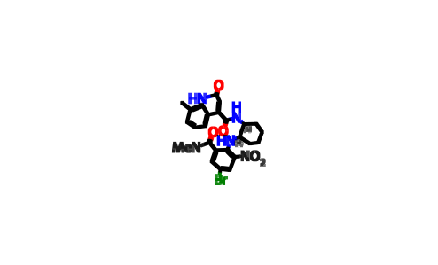 CNC(=O)c1cc(Br)cc([N+](=O)[O-])c1N[C@@H]1CCCC[C@@H]1NC(=O)c1cc(=O)[nH]c2c(C)cccc12